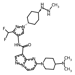 CNN[C@H]1CC[C@H](n2cc(NC(=O)c3cnn4ccc(N5CCC(N(C)C)CC5)nc34)c(C(F)F)n2)CC1